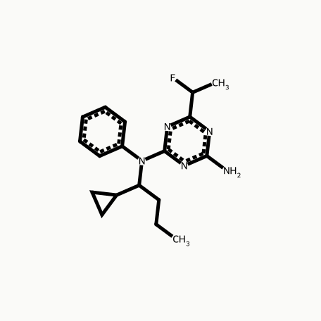 CCCC(C1CC1)N(c1ccccc1)c1nc(N)nc(C(C)F)n1